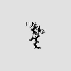 C/C=C\C=C(/CC)Cn1ccc(N)nc1=O